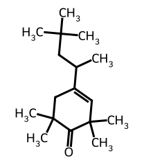 CC(CC(C)(C)C)C1=CC(C)(C)C(=O)C(C)(C)C1